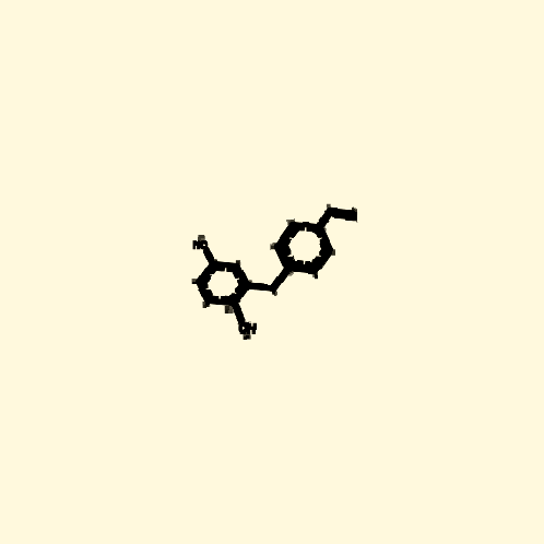 C=Cc1ccc(Cc2cc(O)ccc2O)cc1